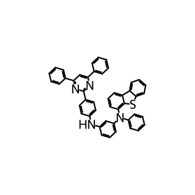 c1ccc(-c2cc(-c3ccccc3)nc(-c3ccc(Nc4cccc(N(c5ccccc5)c5cccc6c5sc5ccccc56)c4)cc3)n2)cc1